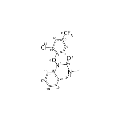 CN(C)C(=O)N(Oc1ccc(C(F)(F)F)cc1Cl)c1ccccc1